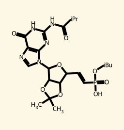 CCC(C)OP(=O)(O)C=CC1OC(n2cnc3c(=O)[nH]c(NC(=O)C(C)C)nc32)C2OC(C)(C)OC12